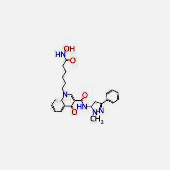 CN1N=C(c2ccccc2)CC1NC(=O)c1cn(CCCCCC(=O)NO)c2ccccc2c1=O